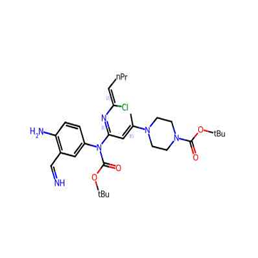 CCC/C=C(Cl)/N=C(\C=C(/C)N1CCN(C(=O)OC(C)(C)C)CC1)N(C(=O)OC(C)(C)C)c1ccc(N)c(C=N)c1